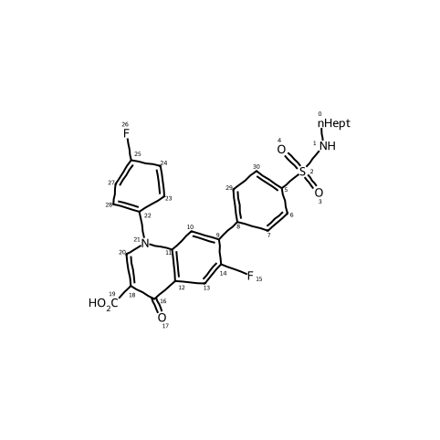 CCCCCCCNS(=O)(=O)c1ccc(-c2cc3c(cc2F)c(=O)c(C(=O)O)cn3-c2ccc(F)cc2)cc1